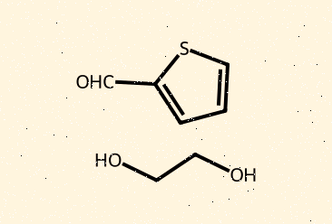 O=Cc1cccs1.OCCO